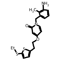 CCSc1ccc(CCOc2ccn(Cc3cccc(N)c3C)c(=O)c2)s1